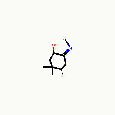 CC/N=C1/C[C@H](C)C(C)(C)C[C@H]1O